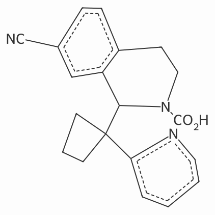 N#Cc1ccc2c(c1)C(C1(c3ccccn3)CCC1)N(C(=O)O)CC2